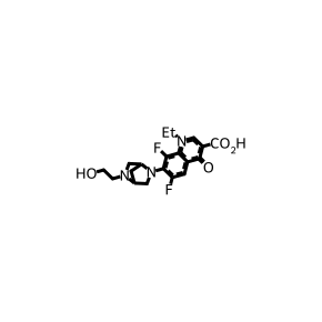 CCn1cc(C(=O)O)c(=O)c2cc(F)c(N3CC4CC3CN4CCO)c(F)c21